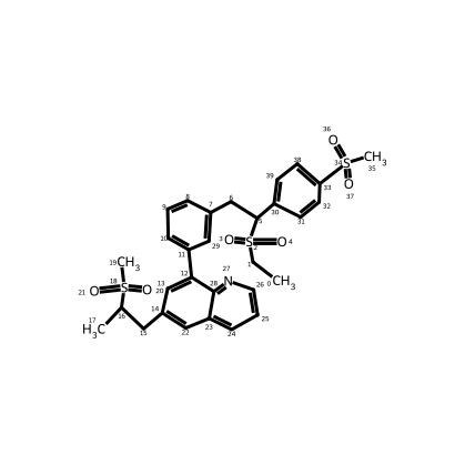 CCS(=O)(=O)C(Cc1cccc(-c2cc(CC(C)S(C)(=O)=O)cc3cccnc23)c1)c1ccc(S(C)(=O)=O)cc1